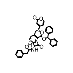 O=C(Cc1ccccc1)N[C@@H]1C(=O)N2C(C(=O)OC(c3ccccc3)c3ccccc3)=C(CSc3ccoc(=O)c3)CS[C@H]12